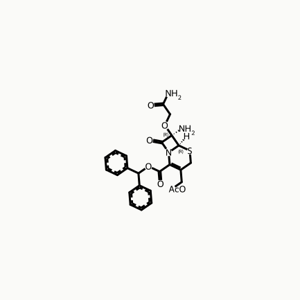 CC(=O)OCC1=C(C(=O)OC(c2ccccc2)c2ccccc2)N2C(=O)[C@@](N)(OCC(N)=O)[C@H]2SC1